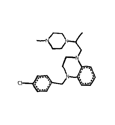 CC(CN1CCN(Cc2ccc(Cl)cc2)c2ccccc21)N1CCN(C)CC1